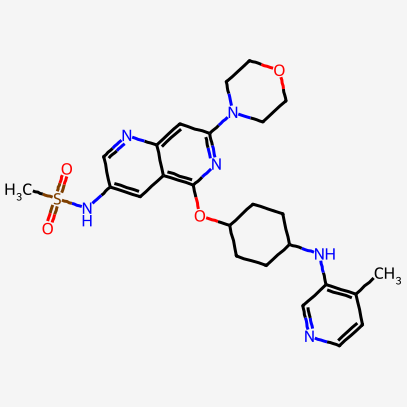 Cc1ccncc1NC1CCC(Oc2nc(N3CCOCC3)cc3ncc(NS(C)(=O)=O)cc23)CC1